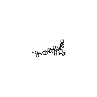 CCC1CCCN1Cc1sc(NC(=O)c2cnc(N3CCN(CCC(=O)O)CC3)cn2)nc1-c1cc(Cl)cs1